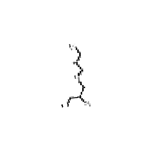 CCNCOCC(C)CO